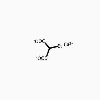 CCC(C(=O)[O-])C(=O)[O-].[Ca+2]